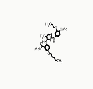 C=CCCCOc1ccc(Nc2nc(Nc3ccc(OC)c(OCC=C)c3)ncc2C(F)(F)F)c(C(=O)NC)c1